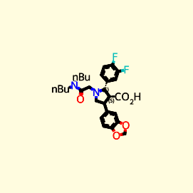 CCCCN(CCCC)C(=O)CN1CC(c2ccc3c(c2)OCO3)[C@H](C(=O)O)[C@H]1c1ccc(F)c(F)c1